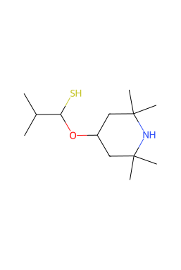 CC(C)C(S)OC1CC(C)(C)NC(C)(C)C1